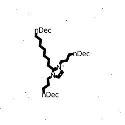 CCCCCCCCCCCCCCCCCc1n(CCCCCCCCCCCCC)cc[n+]1CCCCCCCCCCCCC